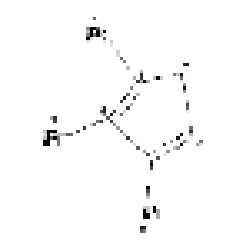 CC(C)C1=CCC(C(C)C)=C1C(C)C